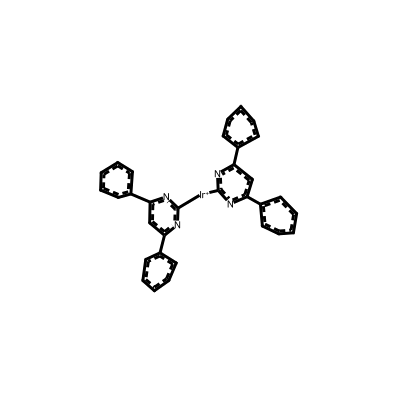 c1ccc(-c2cc(-c3ccccc3)n[c]([Ir+][c]3nc(-c4ccccc4)cc(-c4ccccc4)n3)n2)cc1